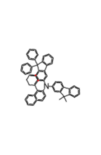 CC1(C)c2ccccc2-c2ccc(N(c3ccc4c(c3)-c3ccccc3C4(c3ccccc3)c3ccccc3)c3ccc4ccccc4c3C3=CC=CCC3)cc21